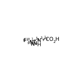 O=C(O)C=CCNCc1cn(CCF)nn1